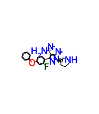 C=Nc1c(/C(N)=N\C)c(-c2ccc(Oc3ccccc3)cc2F)nn1[C@@H]1CCCNC1